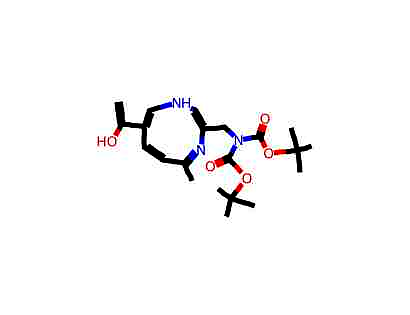 C=C(O)c1ccc(C)nc(CN(C(=O)OC(C)(C)C)C(=O)OC(C)(C)C)c[nH]c1